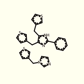 c1ccc(-c2nc(Cc3ccsc3)c(Cc3ccsc3)[nH]2)cc1.c1cn(Cc2ccsc2)cn1